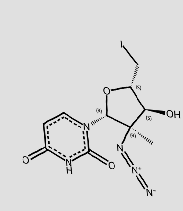 C[C@@]1(N=[N+]=[N-])[C@H](O)[C@@H](CI)O[C@H]1n1ccc(=O)[nH]c1=O